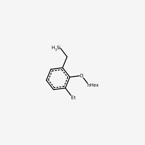 CCCCCCOc1c(CC)cccc1C[SiH3]